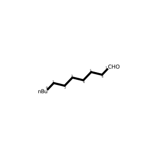 [CH2]CCCCCCCCCC=O